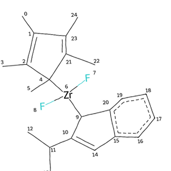 CC1=C(C)[C](C)([Zr]([F])([F])[CH]2C(C(C)C)=Cc3ccccc32)C(C)=C1C